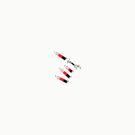 [CH3][Fe].[C]=O.[C]=O.[C]=O.[C]=O